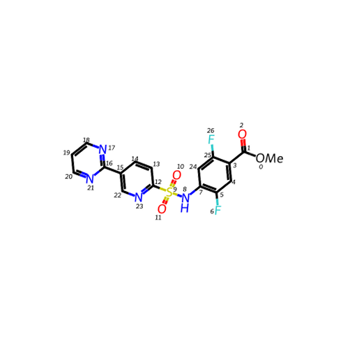 COC(=O)c1cc(F)c(NS(=O)(=O)c2ccc(-c3ncccn3)cn2)cc1F